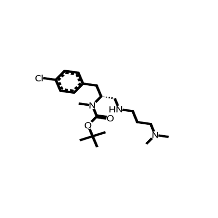 CN(C)CCCNC[C@@H](Cc1ccc(Cl)cc1)N(C)C(=O)OC(C)(C)C